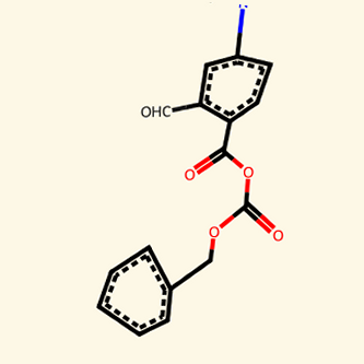 CN(C)c1ccc(C(=O)OC(=O)OCc2ccccc2)c(C=O)c1